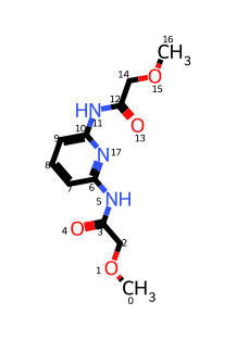 COCC(=O)Nc1cccc(NC(=O)COC)n1